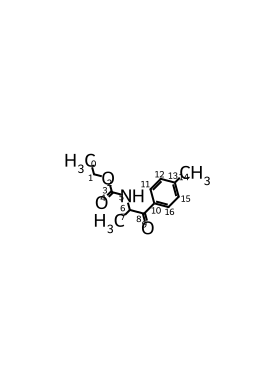 CCOC(=O)NC(C)C(=O)c1ccc(C)cc1